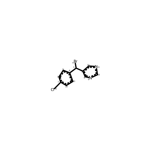 Clc1ccc(C(Br)c2cncnc2)cc1